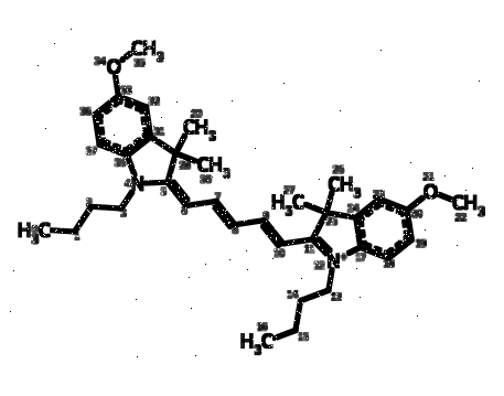 CCCCN1/C(=C/C=C/C=C/C2=[N+](CCCC)c3ccc(OC)cc3C2(C)C)C(C)(C)c2cc(OC)ccc21